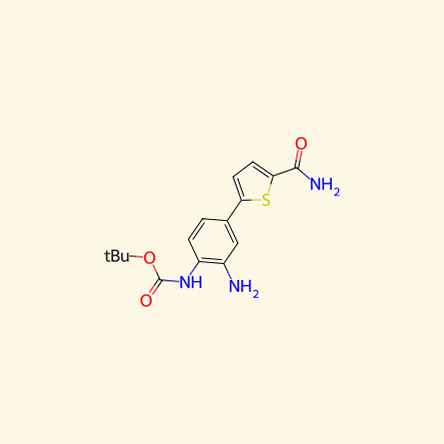 CC(C)(C)OC(=O)Nc1ccc(-c2ccc(C(N)=O)s2)cc1N